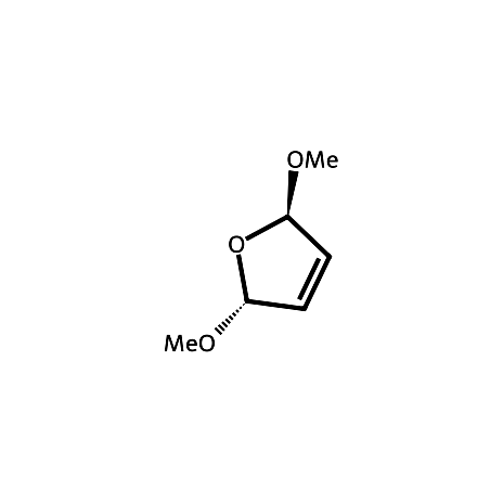 CO[C@H]1C=C[C@H](OC)O1